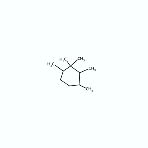 CC1CCC(C)C(C)(C)C1C